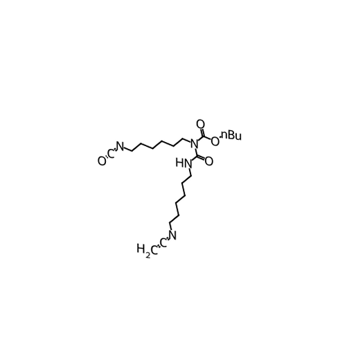 C=C=NCCCCCCNC(=O)N(CCCCCCN=C=O)C(=O)OCCCC